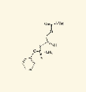 CNC(=O)OCC(=N)SP(C)(=S)Oc1ccccc1